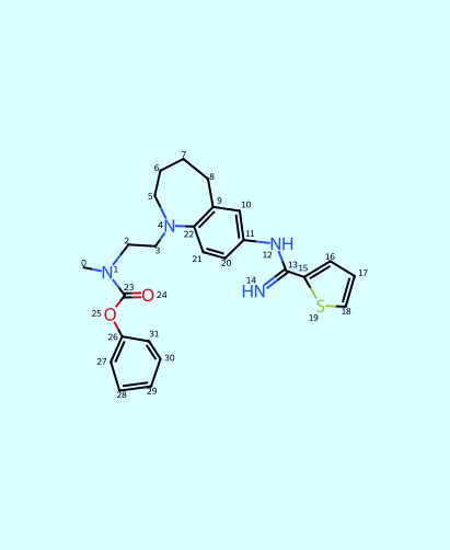 CN(CCN1CCCCc2cc(NC(=N)c3cccs3)ccc21)C(=O)Oc1ccccc1